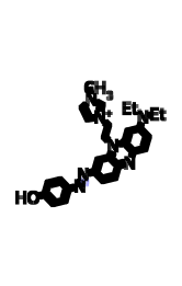 CCN(CC)C1C=CC2N=c3ccc(/N=N/c4ccc(O)cc4)cc3=[N+](CC[n+]3ccn(C)c3)C2=C1